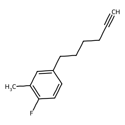 C#CCCCCc1ccc(F)c(C)c1